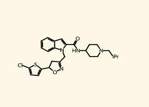 CC(C)CN1CCC(NC(=O)c2cc3ccccc3n2CC2=NOC(c3ccc(Cl)s3)C2)CC1